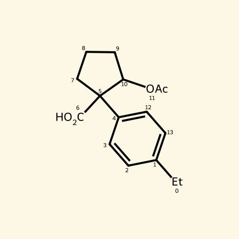 CCc1ccc(C2(C(=O)O)CCCC2OC(C)=O)cc1